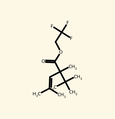 CC(C)=CC(C)(C(=O)OCC(F)(F)F)C(C)(C)C